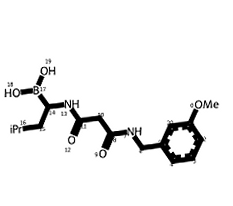 COc1cccc(CNC(=O)CC(=O)NC(CC(C)C)B(O)O)c1